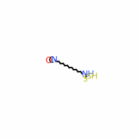 O=C=NCCCCCCCCCCCCCNC(=S)S